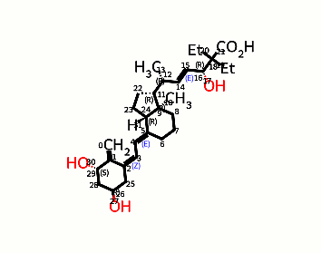 C=C1/C(=C\C=C2/CCC[C@]3(C)[C@@H]([C@H](C)/C=C/[C@@H](O)C(CC)(CC)C(=O)O)CC[C@@H]23)C[C@@H](O)C[C@@H]1O